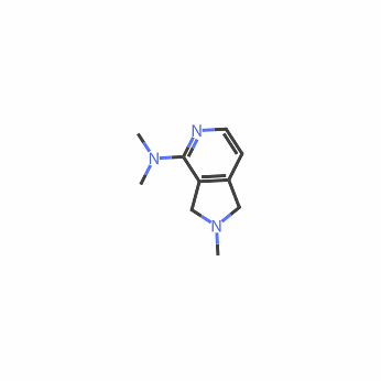 CN1Cc2ccnc(N(C)C)c2C1